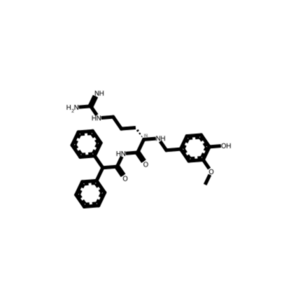 COc1cc(CN[C@@H](CCCNC(=N)N)C(=O)NC(=O)C(c2ccccc2)c2ccccc2)ccc1O